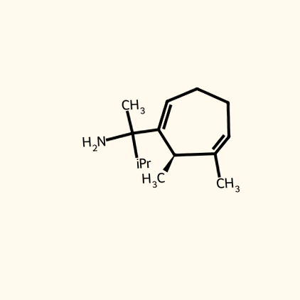 CC1=CCCC=C(C(C)(N)C(C)C)[C@@H]1C